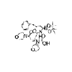 CC1(C)OB([C@H](CCCc2ccccc2)NC(=O)[C@@H](CC(=O)N2CCOCC2)N(C(=O)O)[C@H]2CCOC2)OC1(C)C